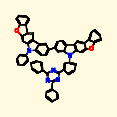 c1ccc(-c2nc(-c3ccccc3)nc(-c3cccc(-n4c5cc(-c6ccc7c(c6)c6cc8c(cc6n7-c6ccccc6)oc6ccccc68)ccc5c5cc6c(cc54)oc4ccccc46)c3)n2)cc1